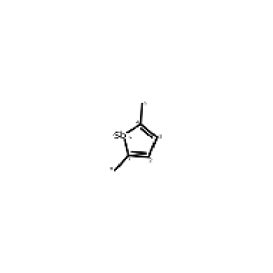 C[C]1=CC=[C](C)[Sb]1